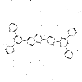 c1ccc(-c2nc(-c3ccccc3)nc(-c3ccc(-c4ccc5cc(-c6cc(-c7ccccn7)nc(-c7ccccn7)c6)ccc5n4)cn3)n2)cc1